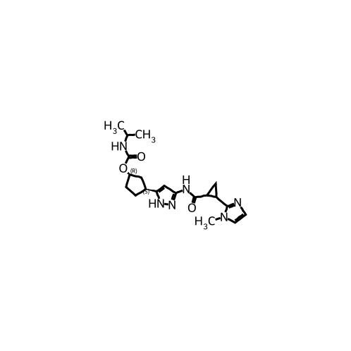 CC(C)NC(=O)O[C@@H]1CC[C@H](c2cc(NC(=O)C3CC3c3nccn3C)n[nH]2)C1